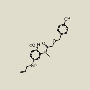 C=CCNc1ccc(C(=O)O)c(N(C)C(=O)COCc2ccc(O)cc2)c1